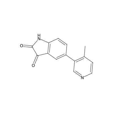 Cc1ccncc1-c1ccc2c(c1)C(=O)C(=O)N2